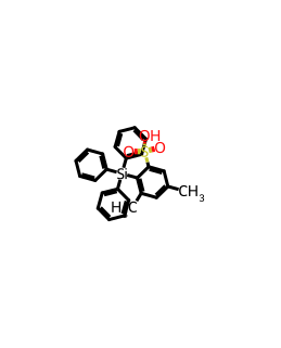 Cc1cc(C)c([Si](c2ccccc2)(c2ccccc2)c2ccccc2)c(S(=O)(=O)O)c1